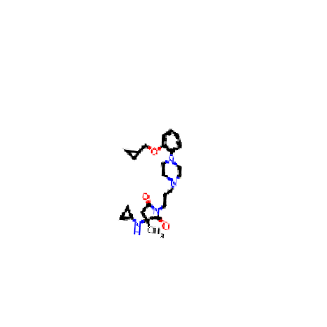 CC1(NC2CC2)CC(=O)N(CCCN2CCN(c3ccccc3OCC3CC3)CC2)C1=O